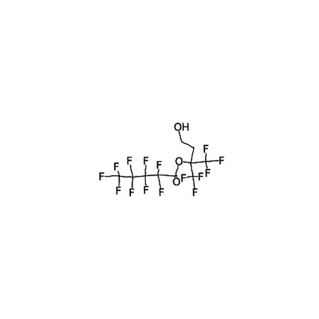 O=C(OC(CCO)(C(F)(F)F)C(F)(F)F)C(F)(F)C(F)(F)C(F)(F)C(F)(F)F